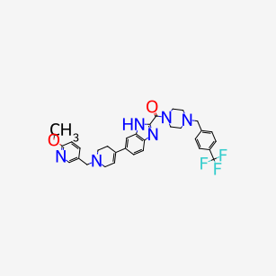 COc1ccc(CN2CC=C(c3ccc4nc(C(=O)N5CCN(Cc6ccc(C(F)(F)F)cc6)CC5)[nH]c4c3)CC2)cn1